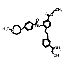 CCOC(=O)c1ccc(CCc2cccc(/C(N)=N/O)c2)c(NC(=O)c2ccc(N3CCCN(C)CC3)cc2)c1